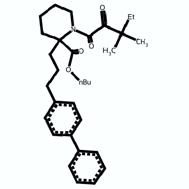 CCCCOC(=O)C1(CCCc2ccc(-c3ccccc3)cc2)CCCCN1C(=O)C(=O)C(C)(C)CC